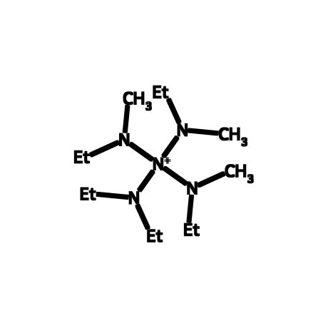 CCN(C)[N+](N(C)CC)(N(C)CC)N(CC)CC